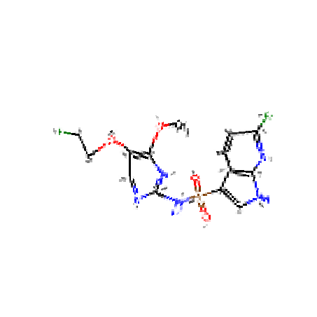 COc1nc(NS(=O)(=O)c2c[nH]c3nc(Br)ccc23)ncc1OCCF